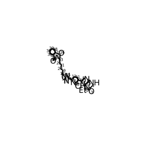 CCN1C(=O)CNc2ncc(-c3ccc(-c4ncn(CCCCCCN5C(=O)c6ccccc6C5=O)n4)nc3C)nc21